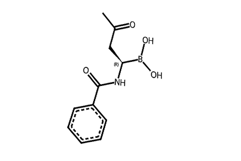 CC(=O)C[C@H](NC(=O)c1ccccc1)B(O)O